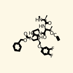 C#CCO[C@H](C)[C@H](NC(=O)[C@H](C)NC)C(=O)N1CC[C@@H]2[C@H]1[C@@H](COc1ccc(F)c(F)c1)CN2C(=O)OCc1ccccc1